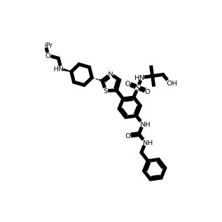 CC(C)OCN[C@H]1CC[C@H](c2ncc(-c3ccc(NC(=O)NCc4ccccc4)cc3S(=O)(=O)NC(C)(C)CO)s2)CC1